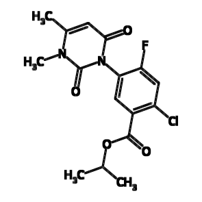 Cc1cc(=O)n(-c2cc(C(=O)OC(C)C)c(Cl)cc2F)c(=O)n1C